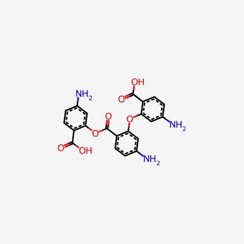 Nc1ccc(C(=O)O)c(OC(=O)c2ccc(N)cc2Oc2cc(N)ccc2C(=O)O)c1